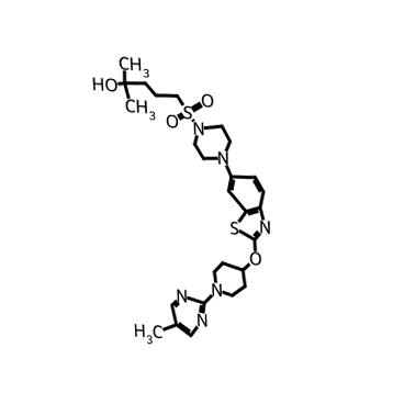 Cc1cnc(N2CCC(Oc3nc4ccc(N5CCN(S(=O)(=O)CCCC(C)(C)O)CC5)cc4s3)CC2)nc1